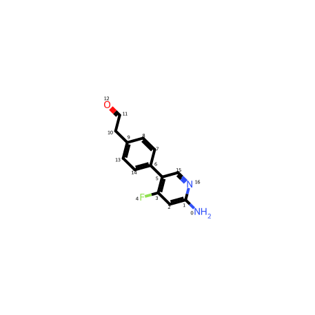 Nc1cc(F)c(-c2ccc(CC=O)cc2)cn1